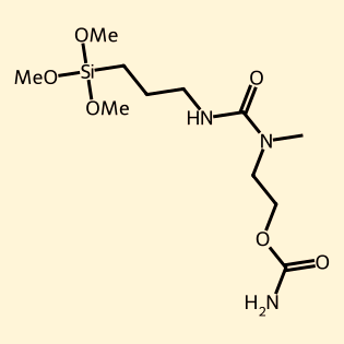 CO[Si](CCCNC(=O)N(C)CCOC(N)=O)(OC)OC